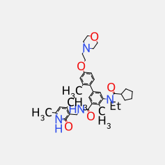 CCN(C(=O)C1CCCC1)c1cc(-c2ccc(OCCN3CCOCC3)cc2C)cc(C(=O)NCc2c(C)cc(C)[nH]c2=O)c1C